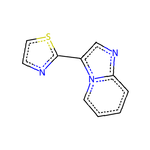 c1ccn2c(-c3nccs3)cnc2c1